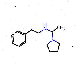 CC(NCCc1ccccc1)N1CCCC1